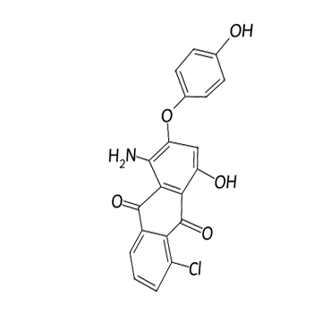 Nc1c(Oc2ccc(O)cc2)cc(O)c2c1C(=O)c1cccc(Cl)c1C2=O